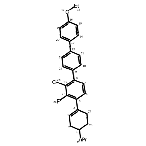 CCCC1CC=C(c2ccc(-c3ccc(-c4ccc(OCC)cc4)cc3)c(Cl)c2F)CC1